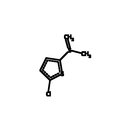 C=S(C)c1ccc(Cl)s1